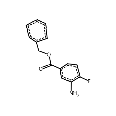 Nc1cc(C(=O)OCc2ccccc2)ccc1F